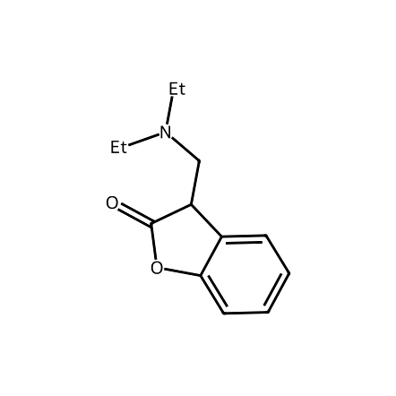 CCN(CC)CC1C(=O)Oc2ccccc21